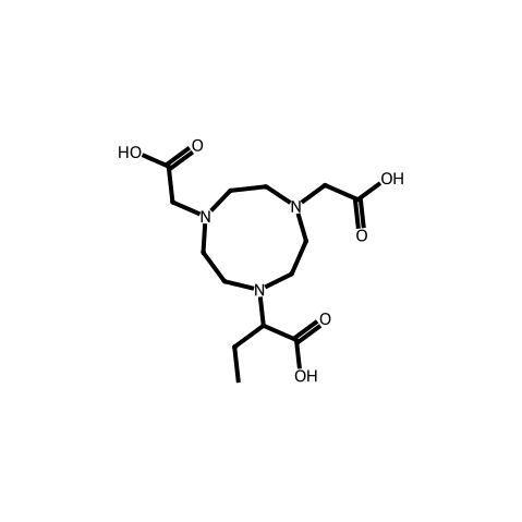 CCC(C(=O)O)N1CCN(CC(=O)O)CCN(CC(=O)O)CC1